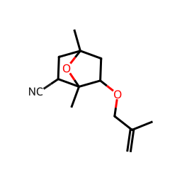 C=C(C)COC1CC2(C)CC(C#N)C1(C)O2